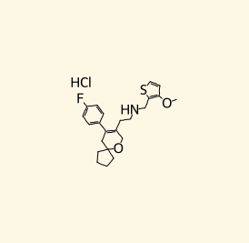 COc1ccsc1CNCCC1=C(c2ccc(F)cc2)CC2(CCCC2)OC1.Cl